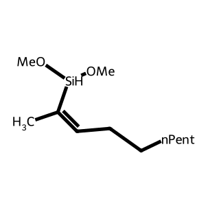 CCCCCCCC=C(C)[SiH](OC)OC